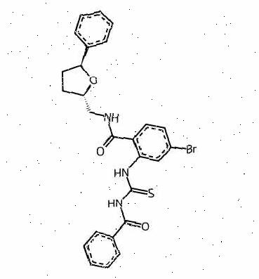 O=C(NC(=S)Nc1cc(Br)ccc1C(=O)NC[C@@H]1CC[C@@H](c2ccccc2)O1)c1ccccc1